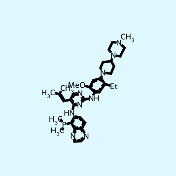 CCc1cc(Nc2ncc(C=C(C)C)c(Nc3ccc4nccnc4c3P(C)C)n2)c(OC)cc1N1CCC(N2CCN(C)CC2)CC1